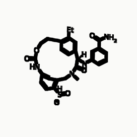 CCc1cc2ccc1CCOC(=O)Nc1ccc([SH](=O)=O)c(c1)CN(C)C(=O)[C@@H]2Nc1cccc(C(N)=O)c1